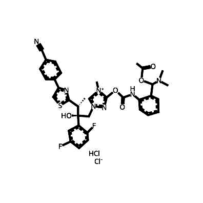 CC(=O)OC(c1ccccc1NC(=O)Oc1nn(C[C@](O)(c2cc(F)ccc2F)[C@@H](C)c2nc(-c3ccc(C#N)cc3)cs2)c[n+]1C)N(C)C.Cl.[Cl-]